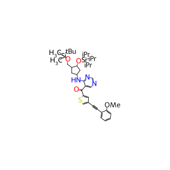 COc1ccccc1C#Cc1csc(C(=O)c2cncnc2NC2CC(CO[Si](C)(C)C(C)(C)C)C(O[Si](C(C)C)(C(C)C)C(C)C)C2)c1